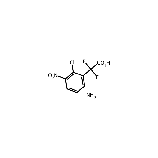 N.O=C(O)C(F)(F)c1cccc([N+](=O)[O-])c1Cl